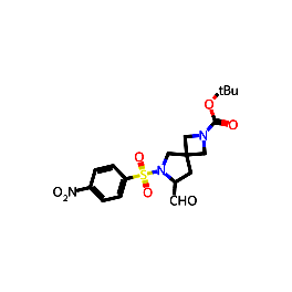 CC(C)(C)OC(=O)N1CC2(CC(C=O)N(S(=O)(=O)c3ccc([N+](=O)[O-])cc3)C2)C1